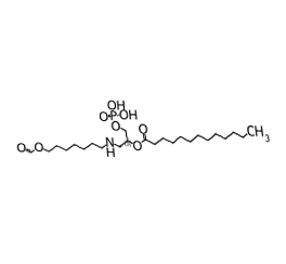 CCCCCCCCCCCCC(=O)O[C@@H](CNCCCCCCCOC=O)COP(=O)(O)O